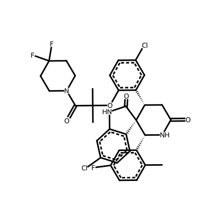 Cc1ccc(F)cc1[C@H]1NC(=O)C[C@@H](c2cc(Cl)ccc2OC(C)(C)C(=O)N2CCC(F)(F)CC2)[C@]12C(=O)Nc1cc(Cl)ccc12